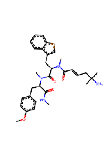 CNC(=O)[C@@H](Cc1ccc(OC)cc1)N(C)C(=O)[C@@H](Cc1csc2ccccc12)N(C)C(=O)C=CCC(C)(C)N